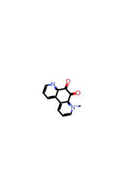 C[n+]1cccc2c1C(=O)C(=O)c1ncccc1-2